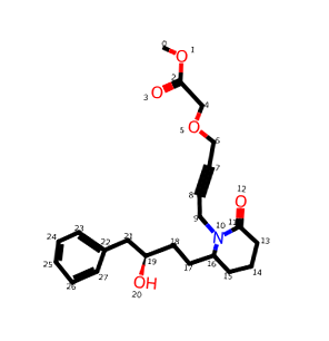 COC(=O)COCC#CCN1C(=O)CCCC1CC[C@@H](O)Cc1ccccc1